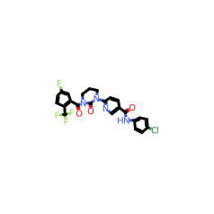 O=C(Nc1ccc(Cl)cc1)c1ccc(N2CCCN(C(=O)c3cc(F)ccc3C(F)(F)F)C2=O)nc1